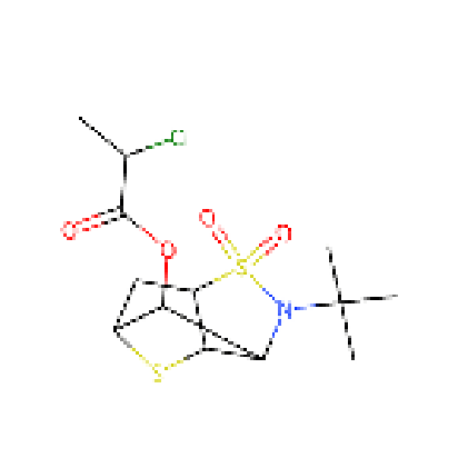 CC(Cl)C(=O)OC1C2CC3C(S2)C1N(C(C)(C)C)S3(=O)=O